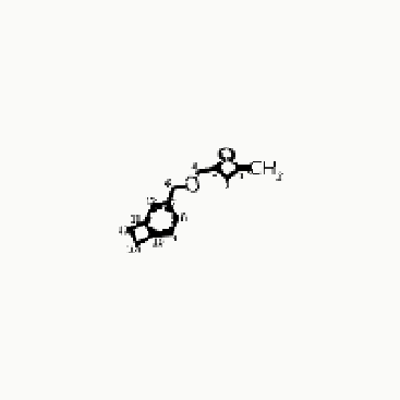 C=C1CC(COCc2ccc3c(c2)CC3)O1